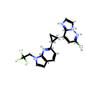 FC(F)(F)Cn1ccc2ccc([C@H]3C[C@@H]3c3cc(Cl)nn4ccnc34)nc21